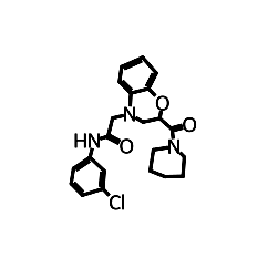 O=C(CN1CC(C(=O)N2CCCCC2)Oc2ccccc21)Nc1cccc(Cl)c1